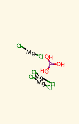 OP(O)O.[Cl][Mg][Cl].[Cl][Mg][Cl].[Cl][Mg][Cl]